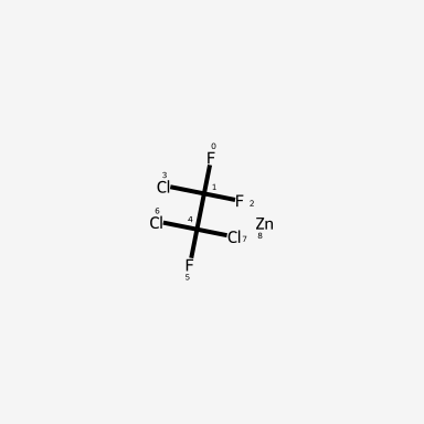 FC(F)(Cl)C(F)(Cl)Cl.[Zn]